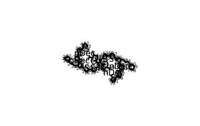 CCCCCCCCCCCCC(CCCCCCCCCC)CN1C(=O)C2=C(C3CC=C(C4=CCC(C5CC(CCCc6ccccc6)=C(C6=CCC(C7CC=C(C8=CCCS8)S7)S6)S5)S4)S3)N(CC(CCCCCCCCCC)CCCCCCCCCCCC)C(=O)C2=C1c1ccc(-c2ccc(-c3cc(CCCc4ccccc4)c(-c4ccc(-c5ccc(-c6cccs6)s5)s4)s3)s2)s1